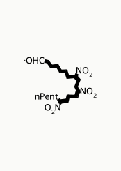 CCCCC/C(=C\C/C=C(\C/C=C(\CCCCCC[C]=O)[N+](=O)[O-])[N+](=O)[O-])[N+](=O)[O-]